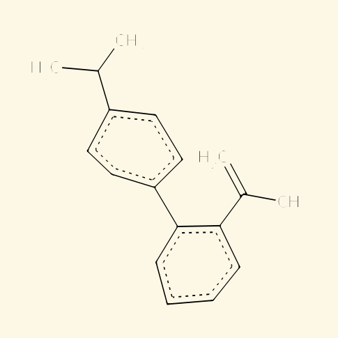 C=C(C)c1ccccc1-c1ccc(C(C)C)cc1